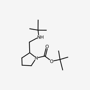 CC(C)(C)NCC1CCCN1C(=O)OC(C)(C)C